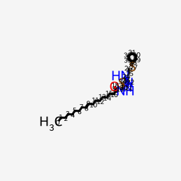 CCCCCCCCC=CCCCCCCCC(=O)Nc1nnc(NCCSc2ccccc2)s1